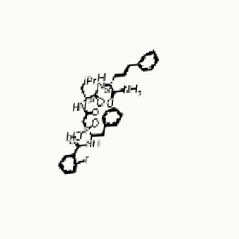 CC(C)C[C@H](NC(=O)CP(=O)(O)C(Cc1ccccc1)NC(=O)c1ccccc1F)C(=O)N[C@@H](CC=Cc1ccccc1)C(N)=O